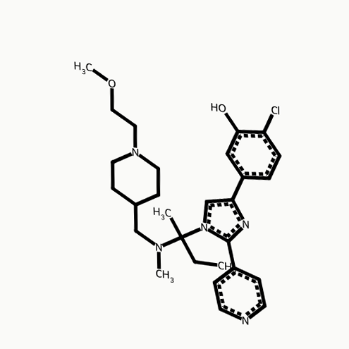 CCC(C)(N(C)CC1CCN(CCOC)CC1)n1cc(-c2ccc(Cl)c(O)c2)nc1-c1ccncc1